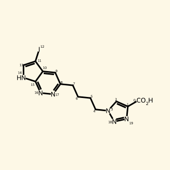 O=C(O)c1cn(CCCCc2cc3c(I)c[nH]c3nn2)nn1